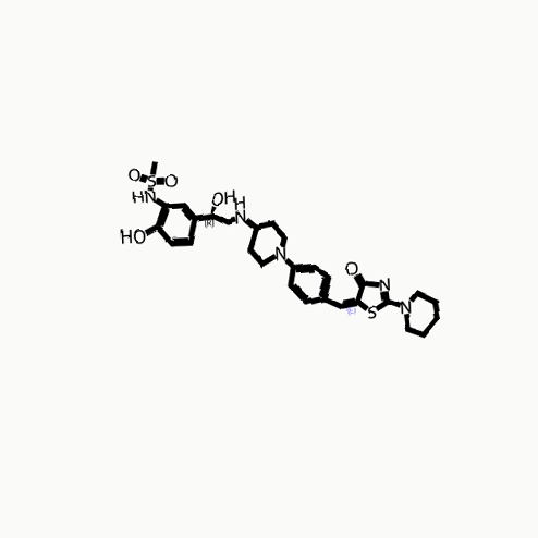 CS(=O)(=O)Nc1cc([C@@H](O)CNC2CCN(c3ccc(/C=C4/SC(N5CCCCC5)=NC4=O)cc3)CC2)ccc1O